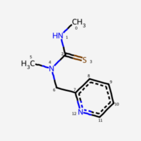 CNC(=S)N(C)Cc1ccccn1